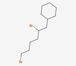 BrCCCCC(Br)CC1CCCCC1